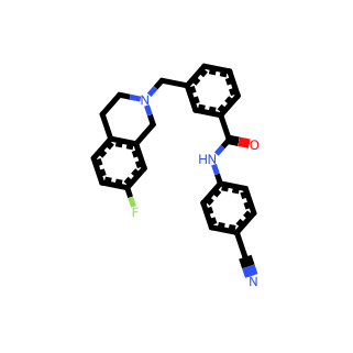 N#Cc1ccc(NC(=O)c2cccc(CN3CCc4ccc(F)cc4C3)c2)cc1